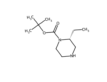 CC[C@@H]1CNCCN1C(=O)OC(C)(C)C